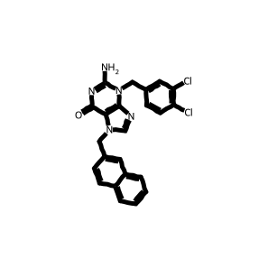 Nc1nc(=O)c2c(ncn2Cc2ccc3ccccc3c2)n1Cc1ccc(Cl)c(Cl)c1